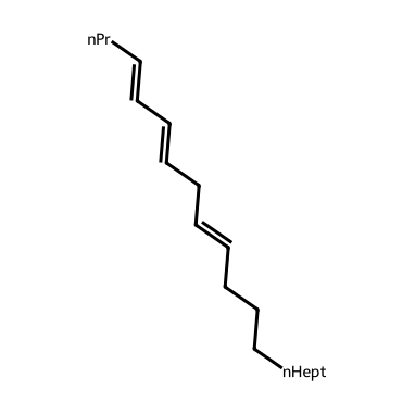 CCC/C=C/C=C/C/C=C/CCCCCCCCCC